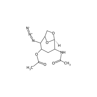 CC(=O)NC1CC(OC(C)=O)C(N=[N+]=[N-])C2CO[C@@H]1O2